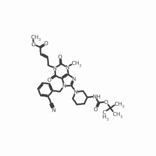 COC(=O)/C=C/Cn1c(=O)c2c(nc(N3CCCC(NC(=O)OC(C)(C)C)C3)n2Cc2ccccc2C#N)n(C)c1=O